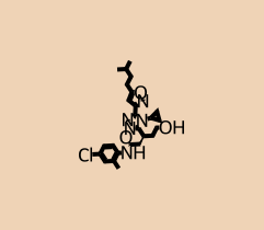 Cc1cc(Cl)ccc1NC(=O)C[C@H](CCO)c1nnc(-c2cc(CCC(C)C)on2)n1C1CC1